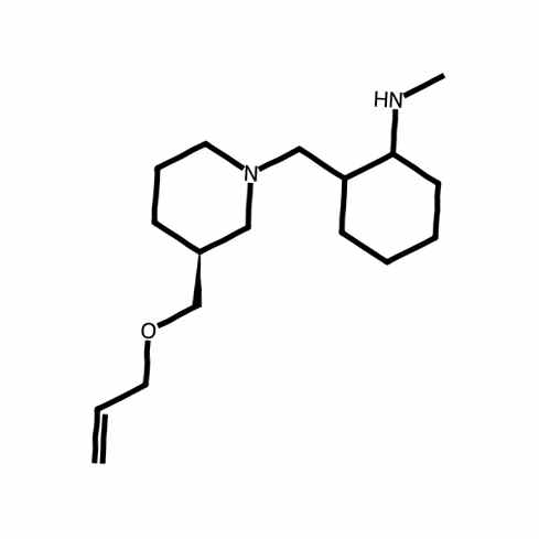 C=CCOC[C@H]1CCCN(CC2CCCCC2NC)C1